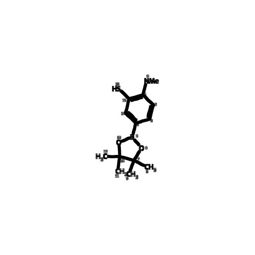 CNc1ccc(B2OC(C)(C)C(C)(C)O2)cc1S